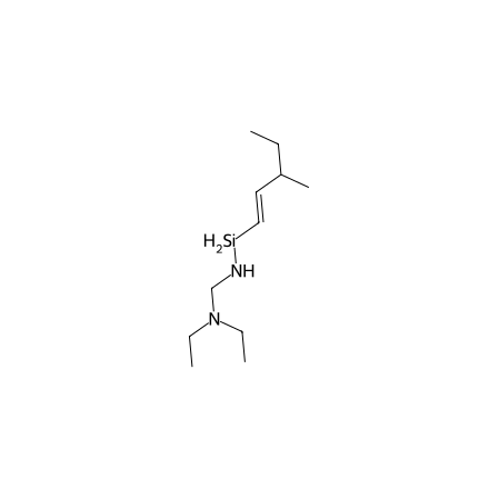 CCC(C)C=C[SiH2]NCN(CC)CC